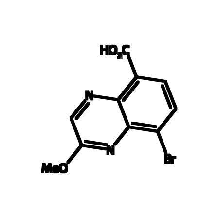 COc1cnc2c(C(=O)O)ccc(Br)c2n1